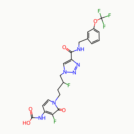 O=C(O)Nc1ccn(CCC(F)Cn2cc(C(=O)NCc3cccc(OC(F)(F)F)c3)nn2)c(=O)c1F